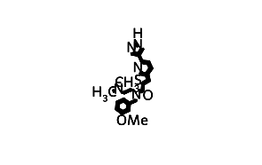 COc1cccc(CN(CCN(C)C)C(=O)c2cc3ccc(-c4cn[nH]c4)nc3s2)c1